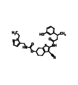 CCn1nccc1CNC(=O)OC1CCc2c(sc(NC(=O)CC(C)c3cccc(O)c3)c2C#N)C1